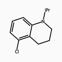 CC(C)N1CCCc2c(Cl)cccc21